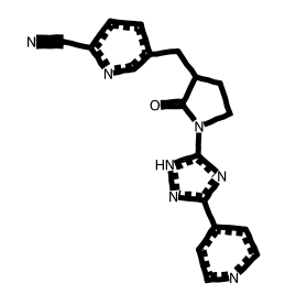 N#Cc1ccc(CC2CCN(c3nc(-c4ccncc4)n[nH]3)C2=O)cn1